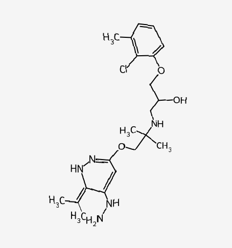 CC(C)=C1NN=C(OCC(C)(C)NCC(O)COc2cccc(C)c2Cl)C=C1NN